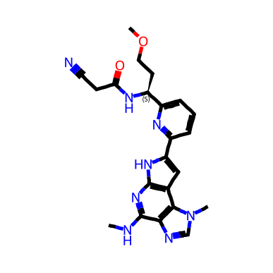 CNc1nc2[nH]c(-c3cccc([C@H](CCOC)NC(=O)CC#N)n3)cc2c2c1ncn2C